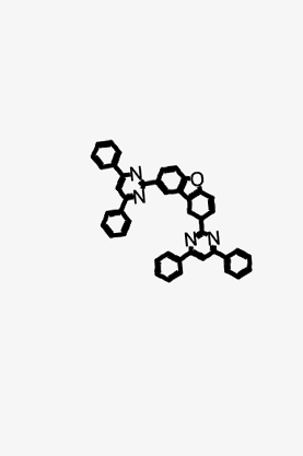 C1=CC(c2nc(-c3ccccc3)cc(-c3ccccc3)n2)Cc2c1oc1ccc(-c3nc(-c4ccccc4)cc(-c4ccccc4)n3)cc21